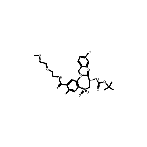 COCCOCCNC(=O)c1cc2c(cc1F)S(=O)(=O)C[C@H](NC(=O)OC(C)(C)C)C(=O)N2Cc1ccc(Cl)cc1